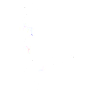 FC(F)(F)c1ccc(-c2cc(COCc3cn(Cc4ccccc4)nn3)c3ccc4ccccc4c3n2)cc1